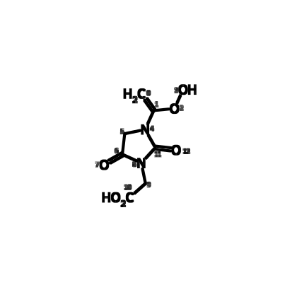 C=C(OO)N1CC(=O)N(CC(=O)O)C1=O